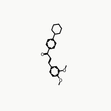 COc1ccc(C=CC(=O)c2ccc(C3CCCCC3)cc2)cc1OC